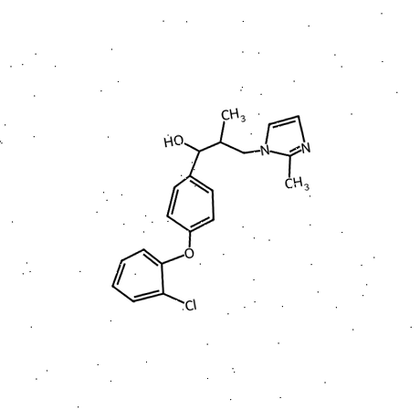 Cc1nccn1CC(C)C(O)c1ccc(Oc2ccccc2Cl)cc1